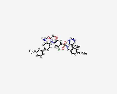 COc1ccc(CN(c2ccncn2)S(=O)(=O)c2cc3c(cc2F)N(C2CC[C@H](c4cccc(C(F)(F)F)c4)C[C@@H]2N(C)C)C(=O)CO3)c(OC)c1